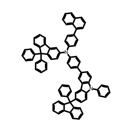 c1ccc(-n2c3ccc(-c4ccc(N(c5ccc(-c6cccc7ccccc67)cc5)c5ccc6c(c5)-c5ccccc5C6(c5ccccc5)c5ccccc5)cc4)cc3c3cc(C4(c5ccccc5)c5ccccc5-c5ccccc54)ccc32)cc1